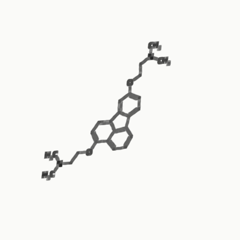 CN(C)CCOc1ccc2c(c1)-c1ccc(OCCN(C)C)c3cccc-2c13